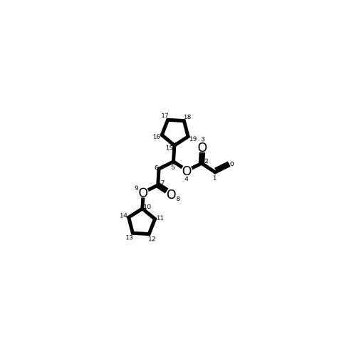 C=CC(=O)OC(CC(=O)OC1CCCC1)C1CCCC1